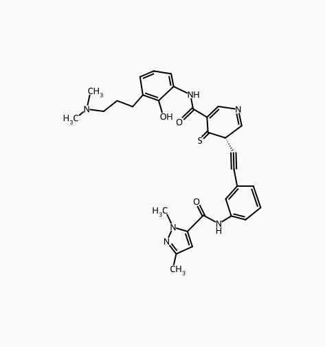 Cc1cc(C(=O)Nc2cccc(C#C[C@H]3C=NC=C(C(=O)Nc4cccc(CCCN(C)C)c4O)C3=S)c2)n(C)n1